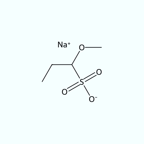 CCC(OC)S(=O)(=O)[O-].[Na+]